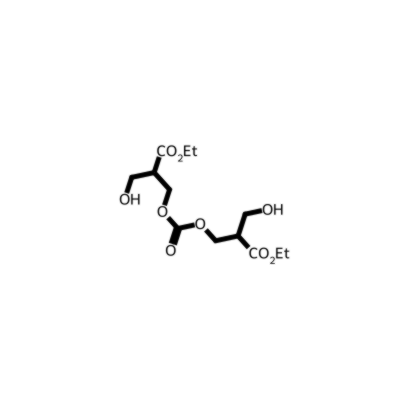 CCOC(=O)C(CO)COC(=O)OCC(CO)C(=O)OCC